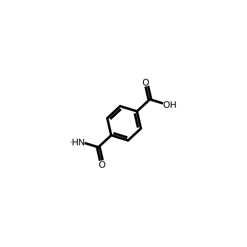 [NH]C(=O)c1ccc(C(=O)O)cc1